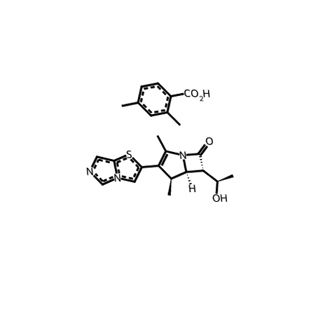 CC1=C(c2cn3cncc3s2)[C@H](C)[C@@H]2[C@@H]([C@@H](C)O)C(=O)N12.Cc1ccc(C(=O)O)c(C)c1